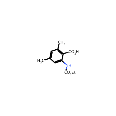 CCOC(=O)Nc1cc(C)cc(C)c1C(=O)O